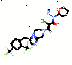 C=NN(C(=O)/C(Cl)=C(\C)N1CCn2c(Cc3ccc(C(F)(F)F)cc3C(F)(F)F)cnc2C1)C1CCCCO1